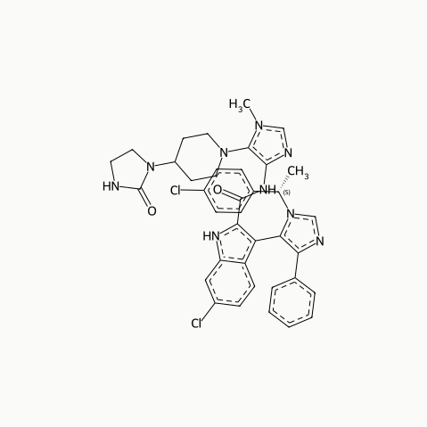 C[C@@H](c1ccc(Cl)cc1)n1cnc(-c2ccccc2)c1-c1c(C(=O)Nc2ncn(C)c2N2CCC(N3CCNC3=O)CC2)[nH]c2cc(Cl)ccc12